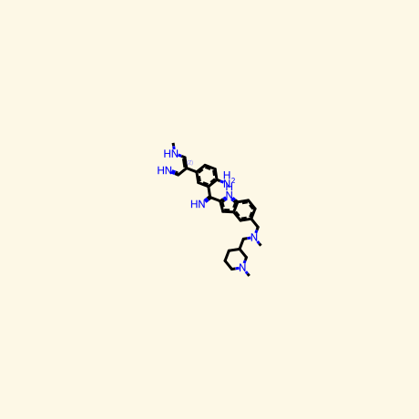 CN/C=C(\C=N)c1ccc(N)c(C(=N)c2cc3cc(CN(C)CC4CCCN(C)C4)ccc3[nH]2)c1